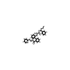 CCC[C@H](OC(=O)NCc1ccccc1-c1ccccc1C(=O)NCCc1ccccn1)c1ccccc1